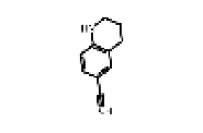 C#Cc1ccc2c(c1)CCCN2